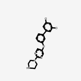 Clc1cc(Cl)cc(-c2cccc(Oc3cnc(N4CCNCC4)nc3)c2)c1